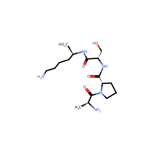 C[C@H](N)C(=O)N1CCC[C@H]1C(=O)N[C@@H](CO)C(=O)N[C@@H](CCCCN)C(=O)O